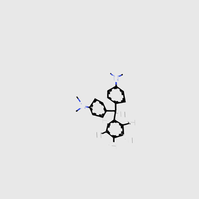 [2H]c1c([2H])c([2H])c(C([2H])(c2ccc(N(C)C)cc2)c2ccc(N(C)C)cc2)c([2H])c1[2H]